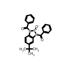 CC(C)(C)c1ccc2c(c1)N(C(=O)c1ccccc1)[S+]([O-])N2C(=O)c1ccccc1